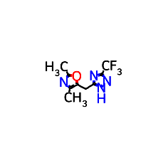 Cc1nc(C)c(Cc2nc(C(F)(F)F)n[nH]2)o1